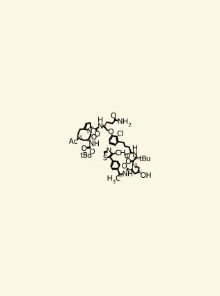 CC(=O)N1CCC2=CC[C@@H](C(=O)N[C@@H](CCC(N)=O)COc3cccc(CCCC(=O)N[C@H](C(=O)N4C[C@H](O)C[C@H]4C(=O)N[C@@H](C)c4ccc(-c5scnc5C)cc4)C(C)(C)C)c3Cl)N2C(=O)[C@@H](NC(=O)OC(C)(C)C)C1